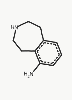 Nc1cccc2c1CCNCC2